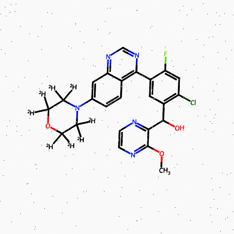 [2H]C1([2H])OC([2H])([2H])C([2H])([2H])N(c2ccc3c(-c4cc(C(O)c5nccnc5OC)c(Cl)cc4F)ncnc3c2)C1([2H])[2H]